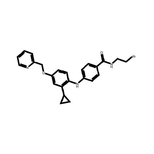 CC(C)CCNC(=O)c1ccc(Nc2ccc(OCc3ccccn3)cc2C2CC2)cc1